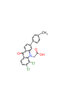 Cc1ccc(-c2ccc3c(=O)c4ccc(Cl)c(Cl)c4n(CC(=O)O)c3c2)cc1